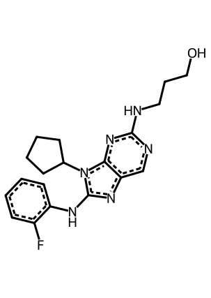 OCCCNc1ncc2nc(Nc3ccccc3F)n(C3CCCC3)c2n1